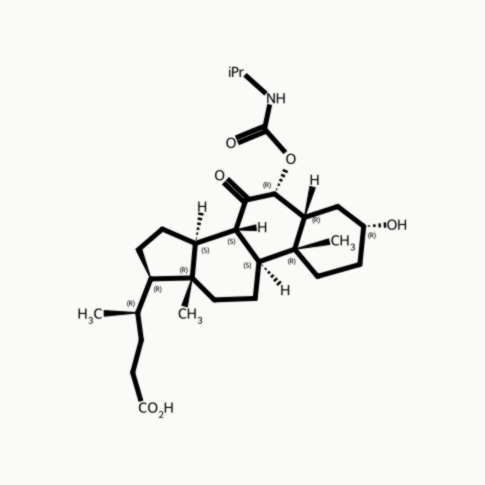 CC(C)NC(=O)O[C@H]1C(=O)[C@@H]2[C@H](CC[C@]3(C)[C@@H]([C@H](C)CCC(=O)O)CC[C@@H]23)[C@@]2(C)CC[C@@H](O)C[C@@H]12